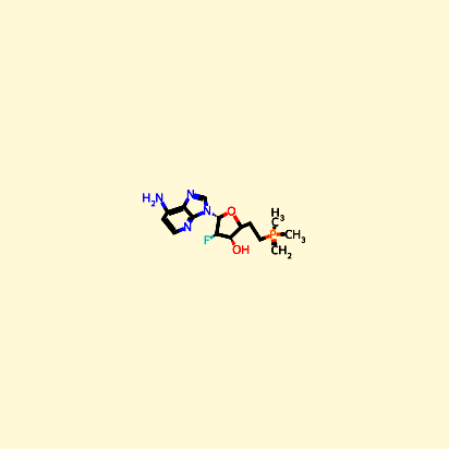 C=P(C)(C)CCC1O[C@@H](n2cnc3c(N)ccnc32)[C@H](F)[C@@H]1O